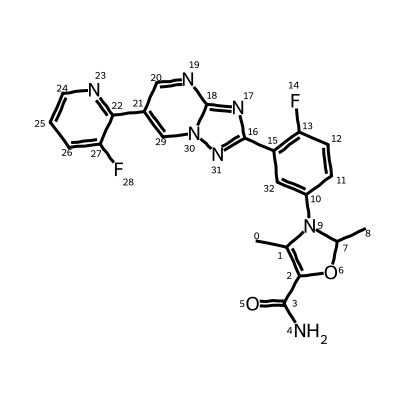 CC1=C(C(N)=O)OC(C)N1c1ccc(F)c(-c2nc3ncc(-c4ncccc4F)cn3n2)c1